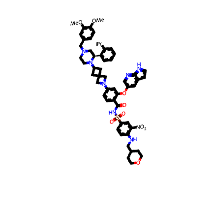 COc1ccc(CN2CCN(C3CC4(C3)CN(c3ccc(C(=O)NS(=O)(=O)c5ccc(NCC6CCOCC6)c([N+](=O)[O-])c5)c(Oc5cnc6[nH]ccc6c5)c3)C4)[C@H](c3ccccc3C(C)C)C2)cc1OC